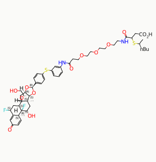 CCCCC(C)SC(CC(=O)O)C(=O)NCCOCCOCCOCCC(=O)Nc1cccc(Sc2ccc([C@@H]3O[C@@H]4C[C@H]5[C@@H]6C[C@H](F)C7=CC(=O)C=C[C@]7(C)[C@@]6(F)[C@@H](O)C[C@]5(C)[C@]4(C(=O)CO)O3)cc2)c1